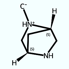 [CH2-][NH+]1C[C@@H]2C[C@H]1CN2